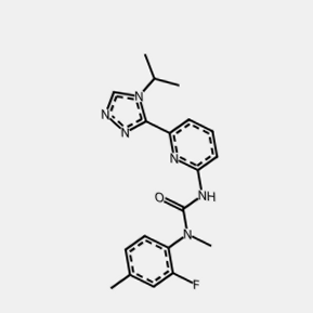 Cc1ccc(N(C)C(=O)Nc2cccc(-c3nncn3C(C)C)n2)c(F)c1